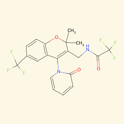 CC1(C)Oc2ccc(C(F)(F)F)cc2C(n2ccccc2=O)=C1CNC(=O)C(F)(F)F